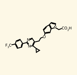 O=C(O)Cn1ccc2ccc(OCCc3cnc(-c4ccc(C(F)(F)F)cc4)nc3C3CC3)cc21